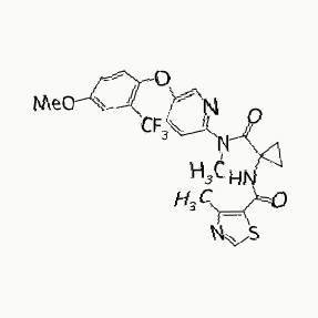 COc1ccc(Oc2ccc(N(C)C(=O)C3(NC(=O)c4scnc4C)CC3)nc2)c(C(F)(F)F)c1